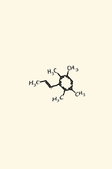 C/C=[C]/c1c(C)c(C)cc(C)c1C